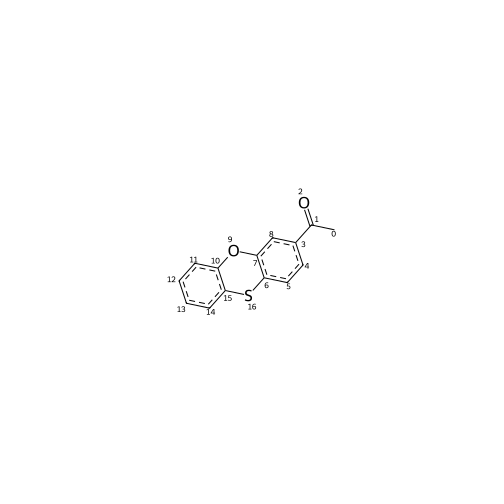 CC(=O)c1ccc2c(c1)Oc1ccccc1S2